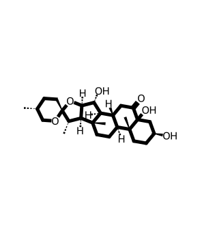 C[C@@H]1CC[C@@]2(OC1)O[C@H]1[C@H](O)[C@H]3[C@@H]4CC(=O)C5(O)C[C@@H](O)CC[C@]5(C)[C@H]4CC[C@]3(C)[C@H]1[C@@H]2C